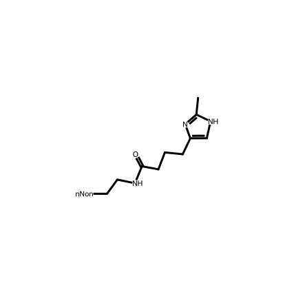 CCCCCCCCCCCNC(=O)CCCc1c[nH]c(C)n1